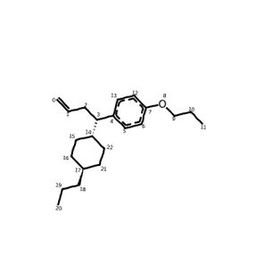 C=CCC(c1ccc(OCCC)cc1)[C@H]1CC[C@H](CCC)CC1